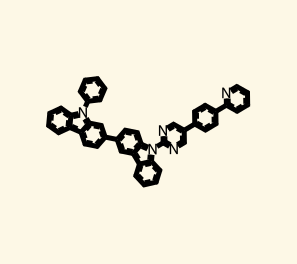 c1ccc(-n2c3ccccc3c3ccc(-c4ccc5c(c4)c4ccccc4n5-c4ncc(-c5ccc(-c6ccccn6)cc5)cn4)cc32)cc1